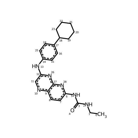 CCNC(=O)Nc1ccc2ncc(Nc3ccc(C4CCCCC4)cc3)nc2n1